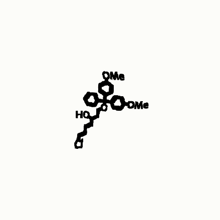 COc1ccc(C(OCCC(O)C=CC=CCl)(c2ccccc2)c2ccc(OC)cc2)cc1